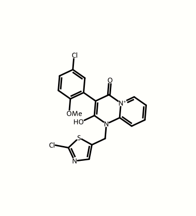 COc1ccc(Cl)cc1-c1c(O)n(Cc2cnc(Cl)s2)c2cccc[n+]2c1=O